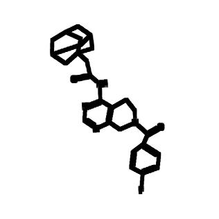 O=C(CC12CC3CC(CC(C3)C1)C2)Nc1ncnc2c1CCN(C(=O)c1ccc(F)cc1)C2